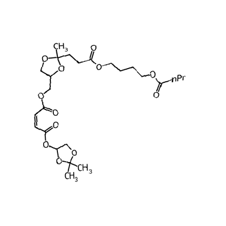 CCCC(=O)OCCCCOC(=O)CCC1(C)OCC(COC(=O)/C=C\C(=O)OC2COC(C)(C)O2)O1